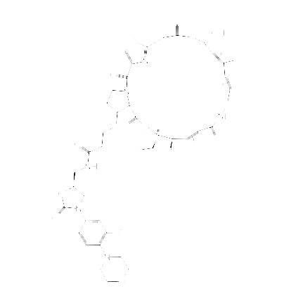 CC[C@H]1OC(=O)C2C(SCCC(=O)NC[C@H]3CN(c4ccc(N5CCOCC5)c(F)c4)C(=O)O3)CCN2C(=O)c2coc(n2)CC(=O)C[C@H](O)/C=C(C)/C=C/CNC(=O)/C=C/[C@H]1C